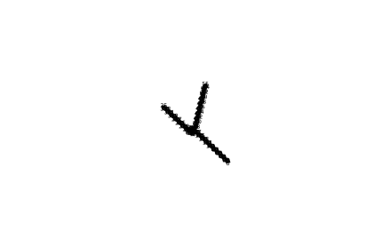 CCCCCCCCCCCCCCCCCCc1cc[n+](CCCCCCCCCCCCCC)cc1CCCCCCCCCCCCCCCCCC